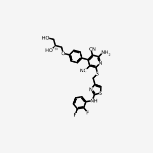 N#Cc1c(N)nc(SCc2csc(Nc3cccc(F)c3F)n2)c(C#N)c1-c1ccc(OC[C@@H](O)CO)cc1